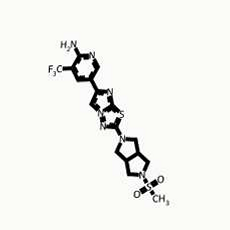 CS(=O)(=O)N1CC2CN(c3nn4cc(-c5cnc(N)c(C(F)(F)F)c5)nc4s3)CC2C1